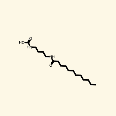 CCCCCCCCCCCC(=O)NCCCCNC(=O)O